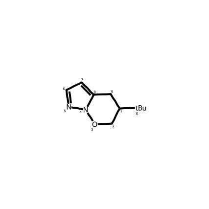 CC(C)(C)C1COn2nccc2C1